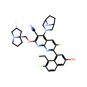 CCc1c(F)ccc2cc(O)cc(-c3nc4nc(OC[C@@]56CCCN5C[C@H](F)C6)c(C#N)c(N5CC6CCC(C5)N6)c4cc3F)c12